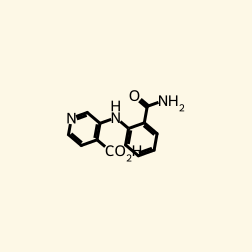 NC(=O)c1ccccc1Nc1cnccc1C(=O)O